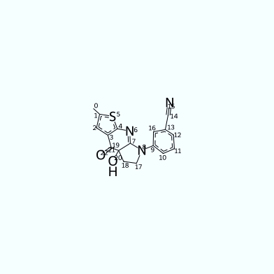 Cc1cc2c(s1)N=C1N(c3cccc(C#N)c3)CCC1(O)C2=O